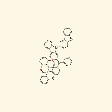 c1ccc(N(c2ccc3c(c2)C2(c4ccccc4S3)c3ccccc3-c3cccc4cccc2c34)c2ccc3c4ccccc4n(-c4ccc5oc6ccccc6c5c4)c3c2)cc1